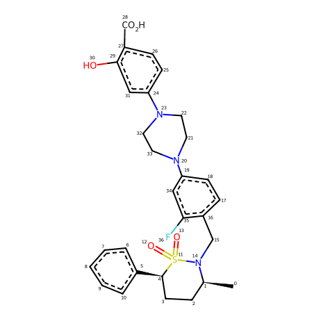 C[C@H]1CC[C@@H](c2ccccc2)S(=O)(=O)N1Cc1ccc(N2CCN(c3ccc(C(=O)O)c(O)c3)CC2)cc1F